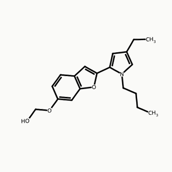 CCCCn1cc(CC)cc1-c1cc2ccc(OCO)cc2o1